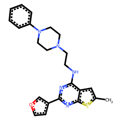 Cc1cc2c(NCCN3CCN(c4ccccc4)CC3)nc(-c3ccoc3)nc2s1